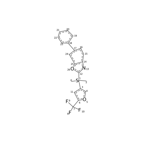 C[Si](C)(c1coc(C(F)(F)F)c1)c1nc2ccc(-c3ccccc3)cc2o1